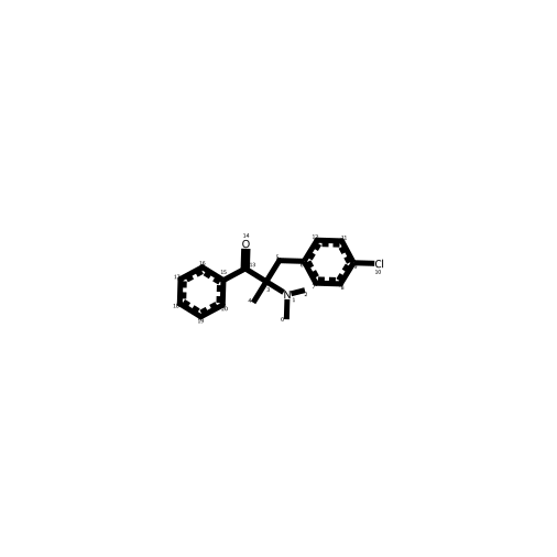 CN(C)C(C)(Cc1ccc(Cl)cc1)C(=O)c1ccccc1